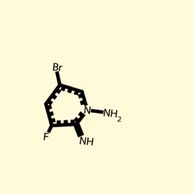 N=c1c(F)cc(Br)cn1N